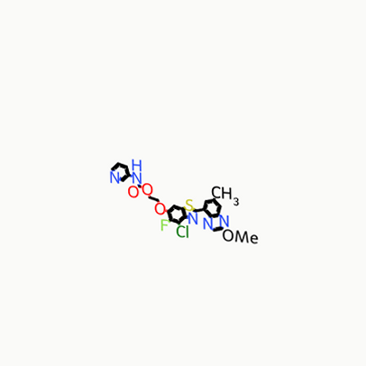 COc1cnc2c(-c3nc4c(Cl)c(F)c(OCCOC(=O)Nc5cccnc5)cc4s3)cc(C)cc2n1